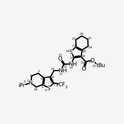 CC(C)N1CCc2c(sc(C(F)(F)F)c2CNC(=O)Nc2sc3c(c2C(=O)OC(C)(C)C)CCCC3)C1